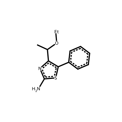 CCOC(C)c1nc(N)sc1-c1ccccc1